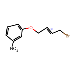 O=[N+]([O-])c1cccc(OC/C=C/CBr)c1